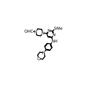 CSc1nc(Nc2ccc(N3CCOCC3)cc2)cc(N2CCN(C=O)CC2)n1